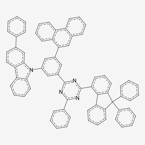 c1ccc(-c2ccc3c4ccccc4n(-c4cc(-c5nc(-c6ccccc6)nc(-c6cccc7c6-c6ccccc6C7(c6ccccc6)c6ccccc6)n5)cc(-c5cc6ccccc6c6ccccc56)c4)c3c2)cc1